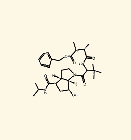 CC(C)NC(=O)N1C[C@H](O)[C@@H]2[C@H]1CCN2C(=O)C(NC(=O)[C@H](C)N(C)C(=O)OCc1ccccc1)C(C)(C)C